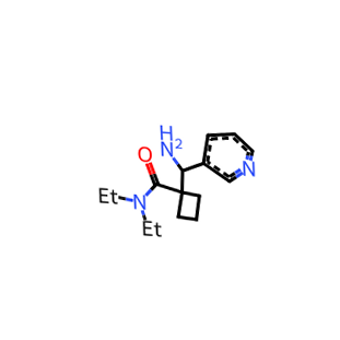 CCN(CC)C(=O)C1(C(N)c2cccnc2)CCC1